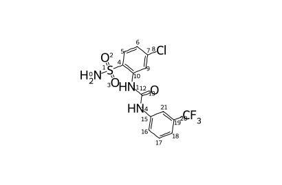 NS(=O)(=O)c1ccc(Cl)cc1NC(=O)Nc1cccc(C(F)(F)F)c1